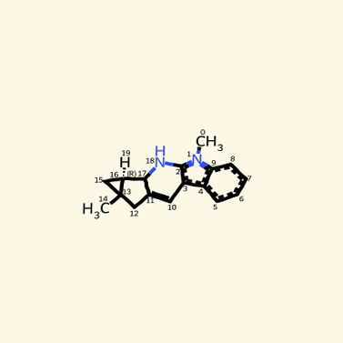 Cn1c2c(c3ccccc31)C=C1CC3(C)C[C@H]3C1N2